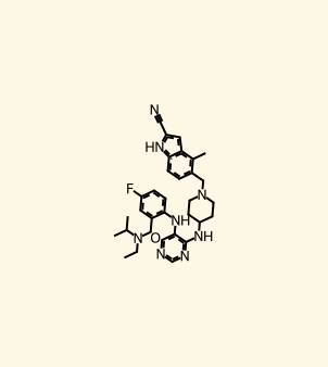 CCN(C(=O)c1cc(F)ccc1Nc1cncnc1NC1CCN(Cc2ccc3[nH]c(C#N)cc3c2C)CC1)C(C)C